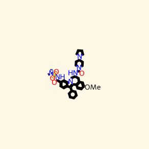 COc1ccc2c(c1)CC(NC(=O)N1CCC(N3CCCC3)CC1)Cn1c-2c(C2CCCCC2)c2ccc(C(=O)NS(=O)(=O)N(C)C)cc21